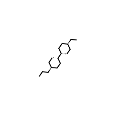 CCC[C@H]1CC[C@H]([C@H]2CC[C@H](CC)CC2)CC1